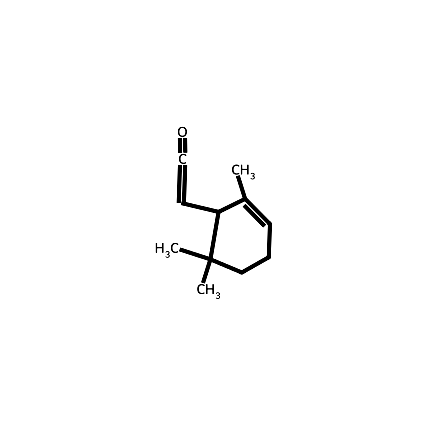 CC1=CCCC(C)(C)C1C=C=O